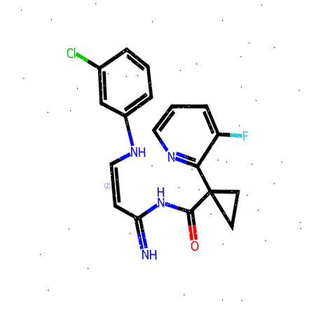 N=C(/C=C\Nc1cccc(Cl)c1)NC(=O)C1(c2ncccc2F)CC1